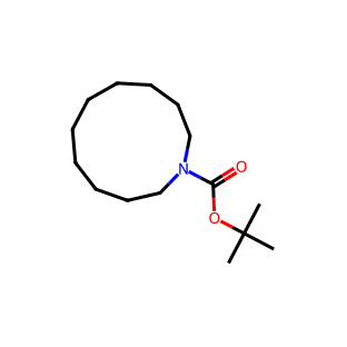 CC(C)(C)OC(=O)N1CCCCCCCCCC1